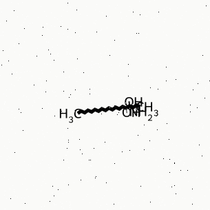 CCCCCCCCCCCCCC[C@@H](O)[C@@H](O)[C@@H](N)CC